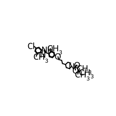 Cc1cc(OCCCC2CCN(C(=O)OC(C)(C)C)CC2)ccc1-c1nc2c(C)cc(Cl)cc2[nH]1